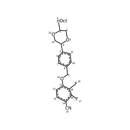 CCCCCCCCC1COC(c2ccc(COc3ccc(C#N)c(F)c3F)cc2)CO1